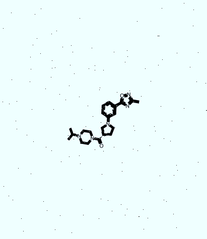 Cc1noc(-c2cccc(N3CC[C@H](C(=O)N4CCN(C(C)C)CC4)C3)c2)n1